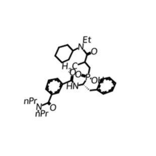 CCCN(CCC)C(=O)c1cccc(C(=O)N[C@@H](Cc2ccccc2)P(=O)(O)CC(C)C(=O)N(CC)C2CCCCC2)c1